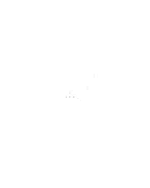 C=CC/C=C/CCC(=O)O